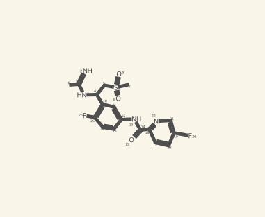 CC(=N)NC(CS(C)(=O)=O)c1cc(NC(=O)c2ccc(F)cn2)ccc1F